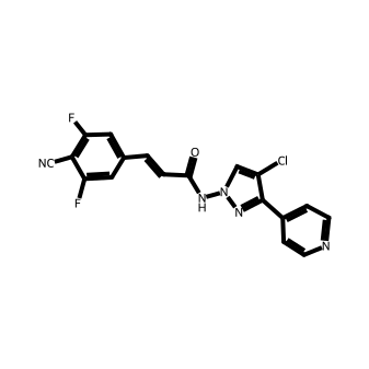 N#Cc1c(F)cc(C=CC(=O)Nn2cc(Cl)c(-c3ccncc3)n2)cc1F